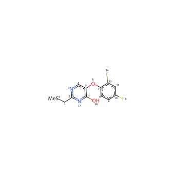 CSCc1ncc(Oc2ccc(F)cc2F)c(O)n1